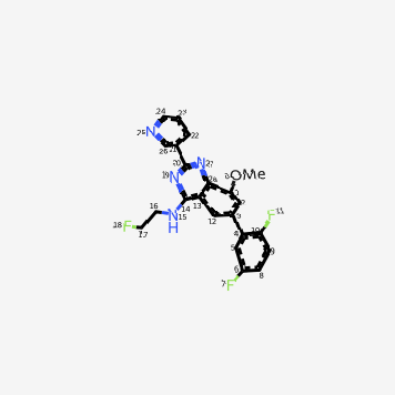 COc1cc(-c2cc(F)ccc2F)cc2c(NCCF)nc(-c3cccnc3)nc12